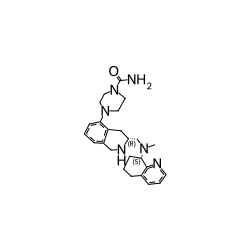 CN(C[C@H]1Cc2c(cccc2N2CCN(C(N)=O)CC2)CN1)[C@H]1CCCc2cccnc21